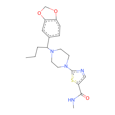 CCCC(c1ccc2c(c1)OCO2)N1CCN(c2ncc(C(=O)NC)s2)CC1